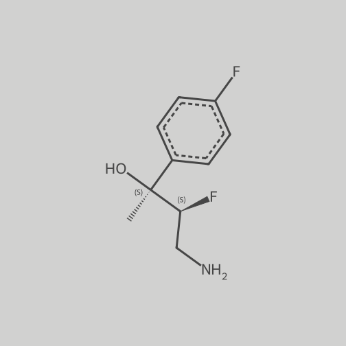 C[C@](O)(c1ccc(F)cc1)[C@@H](F)CN